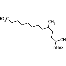 CCCCCCC(C)CCC(C)CCCCCCCC(=O)O